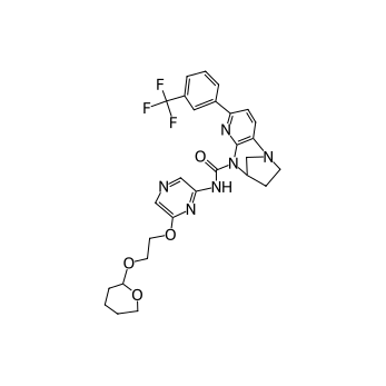 O=C(Nc1cncc(OCCOC2CCCCO2)n1)N1c2nc(-c3cccc(C(F)(F)F)c3)ccc2N2CCC1C2